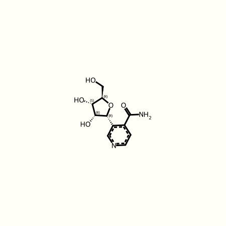 NC(=O)c1ccncc1[C@H]1O[C@H](CO)[C@@H](O)[C@H]1O